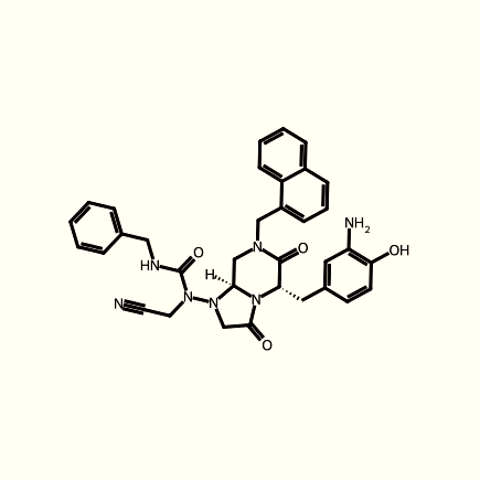 N#CCN(C(=O)NCc1ccccc1)N1CC(=O)N2[C@@H](Cc3ccc(O)c(N)c3)C(=O)N(Cc3cccc4ccccc34)C[C@@H]21